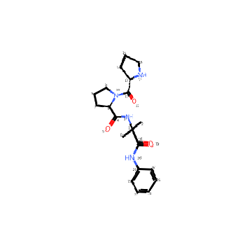 CC(C)(NC(=O)C1CCCN1C(=O)[C@H]1CCCN1)C(=O)Nc1ccccc1